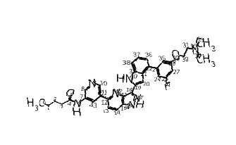 CCCCC(=O)Nc1cncc(-c2ccc3[nH]nc(-c4cc5c(-c6cc(F)cc(OCCN(C)C)c6)cccc5[nH]4)c3n2)c1